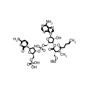 C=CCCC(=O)N(C)[C@H](COC(C)(C)C)C(=O)O[C@H]1[C@@H](O)[C@H](n2cnc3c(N)ncnc32)O[C@H]1COP(=O)(O)O[C@H]1C[C@H](n2ccc(N)nc2=O)O[C@@H]1COP(=O)(O)O